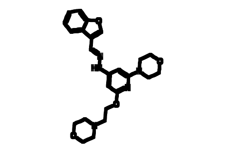 C(=NNc1cc(OCCN2CCOCC2)nc(N2CCOCC2)c1)c1coc2ccccc12